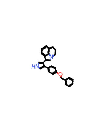 c1ccc(COc2ccc(-c3c[nH]cc3-c3cn4c5c(cccc35)CCC4)cc2)cc1